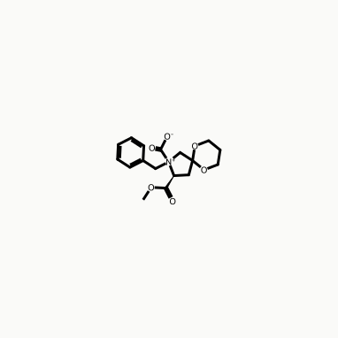 COC(=O)[C@@H]1CC2(C[N+]1(Cc1ccccc1)C(=O)[O-])OCCCO2